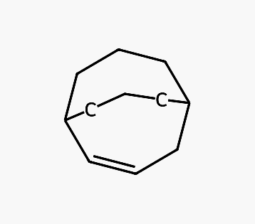 C1=CC2CCCC(C1)CCC2